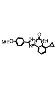 COc1ccc(-c2nc3c4cccc(C5CC5)c4[nH]c(=O)n3n2)cc1